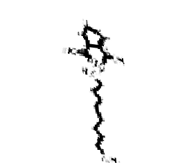 CCCCCCCCCC.O=C(O)c1ccccc1C(=O)O